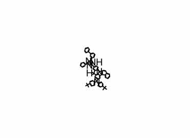 CC(C)(C)c1ccc(N(c2ccc(C(C)(C)C)cc2)c2cc3c4c(c2)c2c5ccccc5ccc2n4-c2ccc(C4NC(c5cccc(-c6ccccc6)c5)=NC(c5ccccc5)N4)cc2C3(C)C)cc1